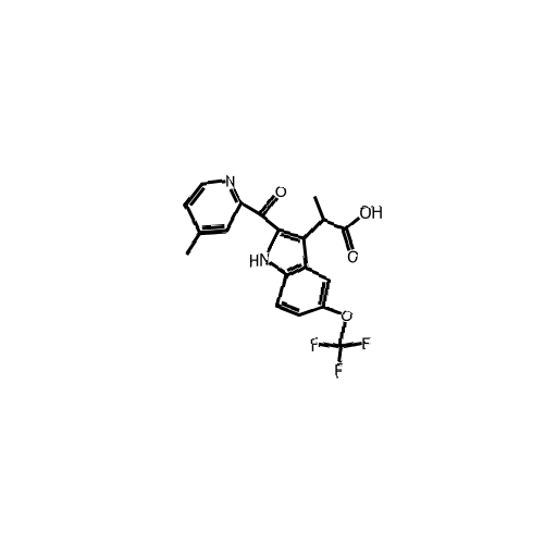 Cc1ccnc(C(=O)c2[nH]c3ccc(OC(F)(F)F)cc3c2C(C)C(=O)O)c1